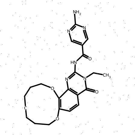 CCn1c(NC(=O)c2cnc(N)nc2)nc2c3c(ccc2c1=O)OCCCCCCCO3